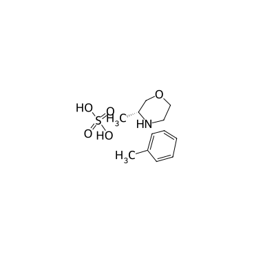 C[C@@H]1COCCN1.Cc1ccccc1.O=S(=O)(O)O